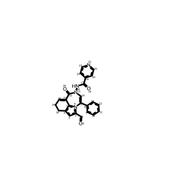 O=Cc1cc2c3n1C(c1ccccc1)=CN(NC(=O)c1ccncc1)C(=O)C3=CCC2